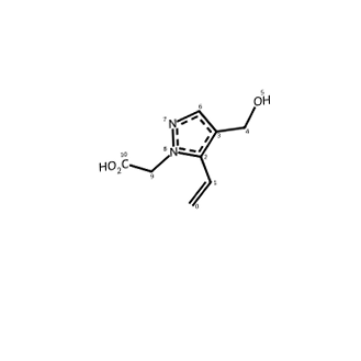 C=Cc1c(CO)cnn1CC(=O)O